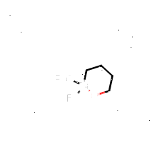 CC[Si]1(C(F)(F)F)CCCCO1